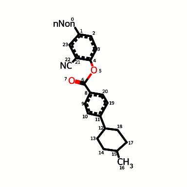 CCCCCCCCCc1ccc(OC(=O)c2ccc(C3CCC(C)CC3)cc2)c(C#N)c1